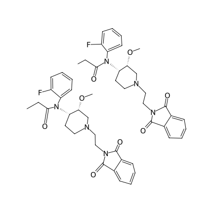 CCC(=O)N(c1ccccc1F)[C@H]1CCN(CCN2C(=O)c3ccccc3C2=O)C[C@H]1OC.CCC(=O)N(c1ccccc1F)[C@H]1CCN(CCN2C(=O)c3ccccc3C2=O)C[C@H]1OC